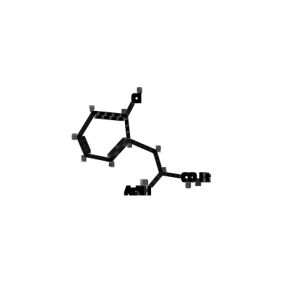 CCOC(=O)C(Cc1ccccc1Cl)NC(C)=O